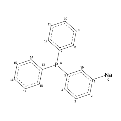 [Na][c]1cccc(P(c2ccccc2)c2ccccc2)c1